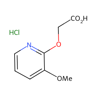 COc1cccnc1OCC(=O)O.Cl